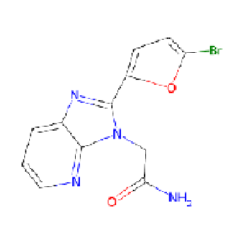 NC(=O)Cn1c(-c2ccc(Br)o2)nc2cccnc21